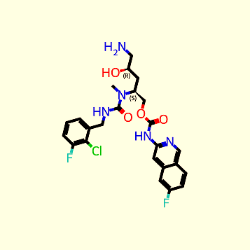 CN(C(=O)NCc1cccc(F)c1Cl)[C@H](COC(=O)Nc1cc2cc(F)ccc2cn1)C[C@@H](O)CN